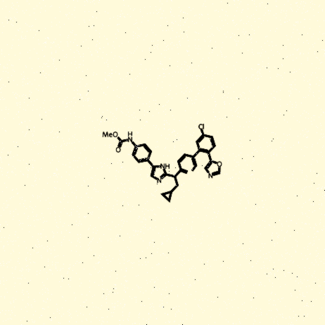 C=C(/C=C\C(=C/C)c1cc(Cl)ccc1-c1cnco1)C(CC1CC1)c1ncc(-c2ccc(NC(=O)OC)cc2)[nH]1